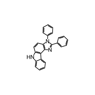 c1ccc(-c2nc3c4c(ccc3n2-c2ccccc2)[nH]c2ccccc24)cc1